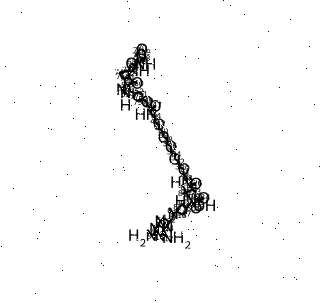 CN(Cc1cnc2nc(N)nc(N)c2n1)c1ccc(C(=O)N[C@@H](CC(C(=O)NCCOCCOCCOCCOCCOCCNC(=O)COc2ccc(-c3[nH]nc4c3C(=O)c3c(NC(=O)NN5CCOCC5)cccc3-4)cc2)C(C)(C)C)C(=O)O)cc1